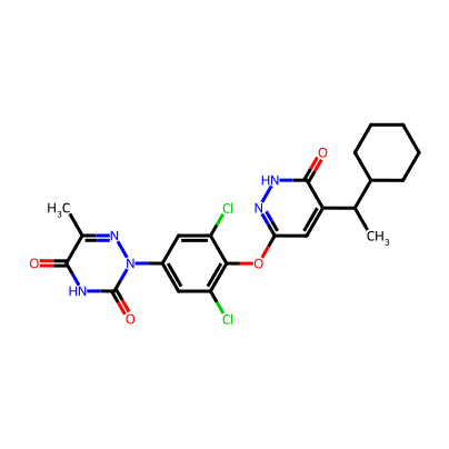 Cc1nn(-c2cc(Cl)c(Oc3cc(C(C)C4CCCCC4)c(=O)[nH]n3)c(Cl)c2)c(=O)[nH]c1=O